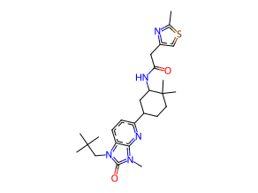 Cc1nc(CC(=O)NC2CC(c3ccc4c(n3)n(C)c(=O)n4CC(C)(C)C)CCC2(C)C)cs1